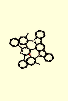 Cc1cccc(C)c1-n1c2ccccc2c2cc3c4ccccc4n(-c4c(C)cccc4C)c3c(-c3cc(-c4ccccc4)nc(-c4ccccc4)n3)c21